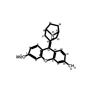 COc1ccc2c(c1)Oc1cc(C)ccc1C2=C1CC2CCC(C1)N2